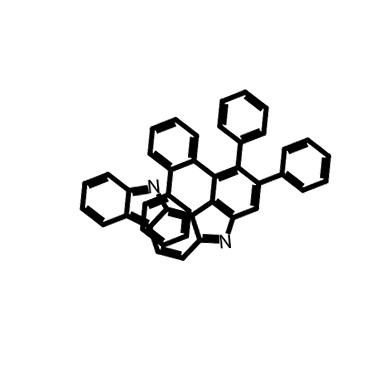 c1ccc(-c2ccccc2-c2c3c(cc(-c4ccccc4)c2-c2ccccc2)N=c2ccc4c(c2-3)N=c2ccccc2=4)cc1